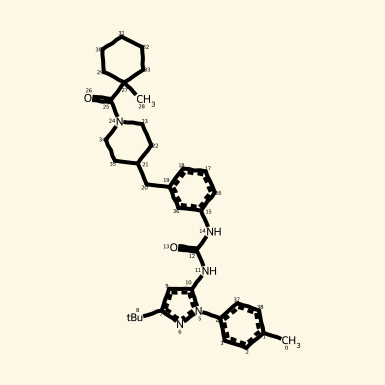 Cc1ccc(-n2nc(C(C)(C)C)cc2NC(=O)Nc2cccc(CC3CCN(C(=O)C4(C)CCCCC4)CC3)c2)cc1